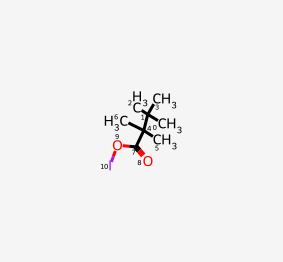 CC(C)(C)C(C)(C)C(=O)OI